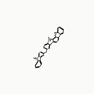 Cn1c2ccccc2c2cc(Cc3ccc4c(c3)c3ccc5c6ccccc6sc5c3n4C)ccc21